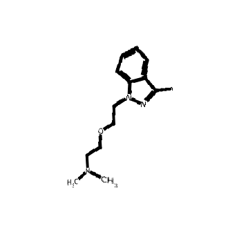 CN(C)CCOCCn1nc(I)c2ccccc21